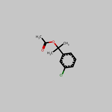 CC(=O)OC(C)(C)c1cccc(Cl)c1